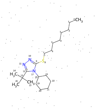 CCCCCCCCSc1nnc(C(C)(C)C)n1C1CCCCC1